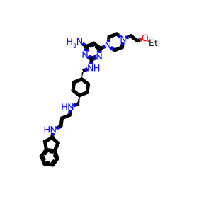 CCOCCN1CCN(c2cc(N)nc(NC[C@H]3CC[C@H](CNCCCNC4Cc5ccccc5C4)CC3)n2)CC1